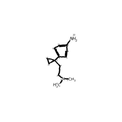 CN(C)CCC1(c2ccc(N)cc2)CC1